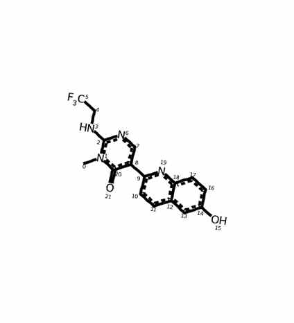 Cn1c(NCC(F)(F)F)ncc(-c2ccc3cc(O)ccc3n2)c1=O